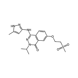 Cc1cc(Nc2nn(C(C)C)c(=O)c3cc(OCCS(C)(=O)=O)ccc23)n[nH]1